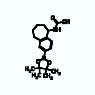 CC1(C)OB(c2ccc3c(c2)CCCC[C@H]3NC(=O)O)OC1(C)C